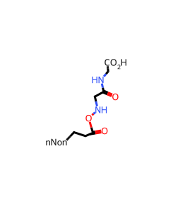 CCCCCCCCCCCC(=O)ONCC(=O)NCC(=O)O